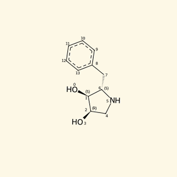 O[C@@H]1[C@H](O)CN[C@H]1Cc1ccccc1